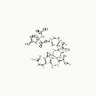 CC(=O)N1CCc2c([nH]c3cc(F)ccc23)C12CCC(c1ccccc1)(N(C)C)CC2.O=C(O)CC(O)(CC(=O)O)C(=O)O